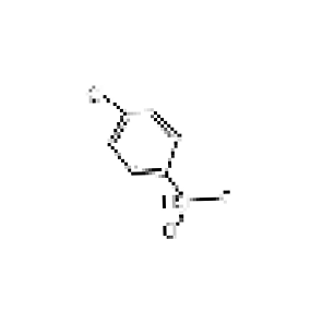 Clc1ccc([SiH](Cl)Cl)cc1